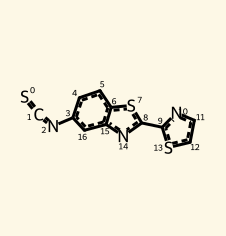 S=C=Nc1ccc2sc(-c3nccs3)nc2c1